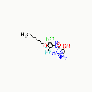 CCCCCCCCOc1ccc(-c2noc([C@@H]3[C@@H](O)CCN3C(=N)N)n2)cc1C(F)(F)F.Cl